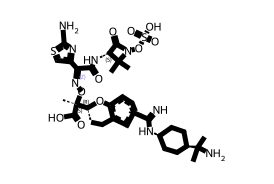 CC1(C)[C@H](NC(=O)/C(=N\O[C@](C)(C(=O)O)[C@H]2CCc3cc(C(=N)N[C@H]4CC[C@H](C(C)(C)N)CC4)ccc3O2)c2csc(N)n2)C(=O)N1OS(=O)(=O)O